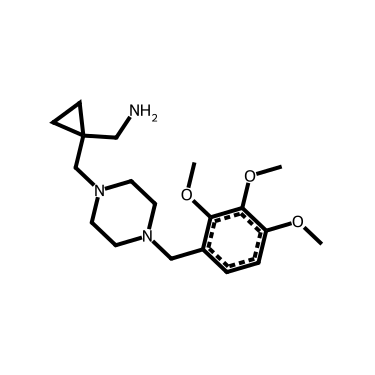 COc1ccc(CN2CCN(CC3(CN)CC3)CC2)c(OC)c1OC